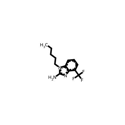 CCCCCn1c(N)nc2c(C(F)(F)F)cccc21